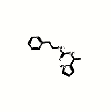 CC(NC(=S)NCCc1ccccc1)c1ccc[nH]1